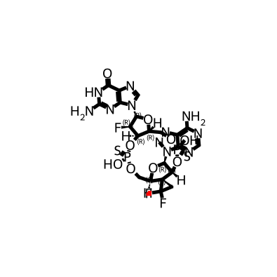 Nc1nc2c(ncn2[C@@H]2O[C@@H]3COP(O)(=S)O[C@H]4[C@H](n5nnc6c(N)ncnc65)O[C@H](COP(O)(=S)O[C@H]3[C@H]2F)[C@]42CC2(F)F)c(=O)[nH]1